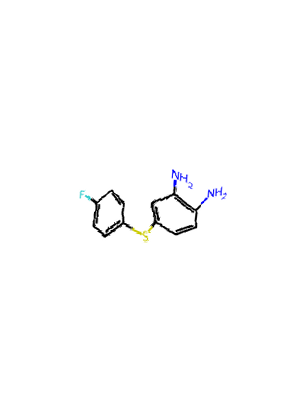 Nc1ccc(Sc2ccc(F)cc2)cc1N